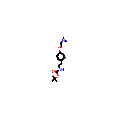 CN(C)CCOc1ccc(CCNC(=O)OC(C)(C)C)cc1